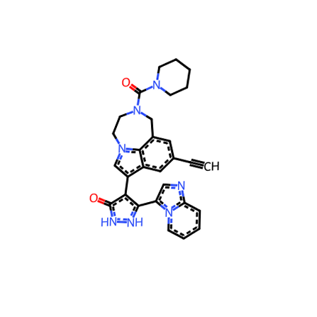 C#Cc1cc2c3c(c1)c(-c1c(-c4cnc5ccccn45)[nH][nH]c1=O)cn3CCN(C(=O)N1CCCCC1)C2